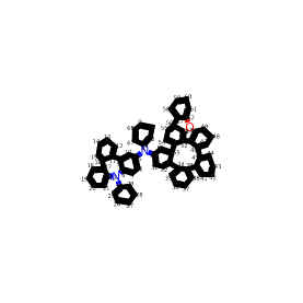 c1ccc(N(c2ccc3c(c2)-c2ccccc2-c2ccccc2N3c2ccccc2)c2ccc3c4ccccc4c4ccccc4c4ccccc4c4c(ccc5c6ccccc6oc54)c3c2)cc1